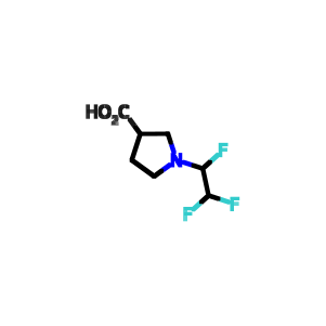 O=C(O)C1CCN(C(F)C(F)F)C1